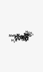 CNc1nc(N)nc2c1ncn2[C@@H]1O[C@](CCl)(COP(=S)(N[C@@H](C)C(=O)OC)Oc2ccccc2)[C@@H](O)[C@H]1F